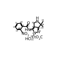 CCOC(=O)n1nc2c(c1NC(=O)c1ccccc1[N+](=O)[O-])CNC2(C)C.Cl